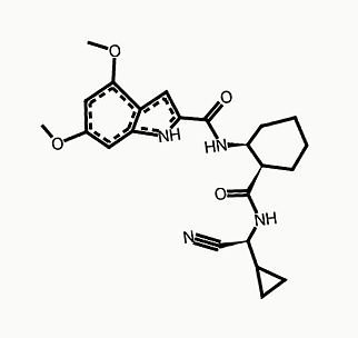 COc1cc(OC)c2cc(C(=O)N[C@H]3CCCC[C@H]3C(=O)N[C@H](C#N)C3CC3)[nH]c2c1